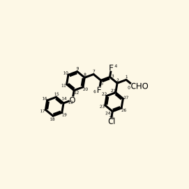 O=CCC(C(F)=C(F)Cc1cccc(Oc2ccccc2)c1)c1ccc(Cl)cc1